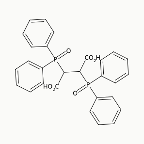 O=C(O)C(C(C(=O)O)P(=O)(c1ccccc1)c1ccccc1)P(=O)(c1ccccc1)c1ccccc1